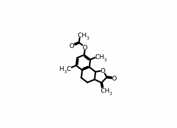 C=C1C(=O)OC2c3c(C)c(OC(C)=O)cc(C)c3CCC12